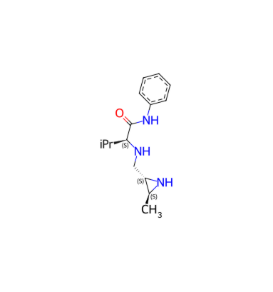 CC(C)[C@H](NC[C@@H]1N[C@H]1C)C(=O)Nc1ccccc1